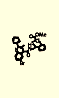 COC(=O)CSC(CNC(=O)c1c(C)c(-c2ccccc2)nc2ccc(Br)cc12)c1ccccc1Cl